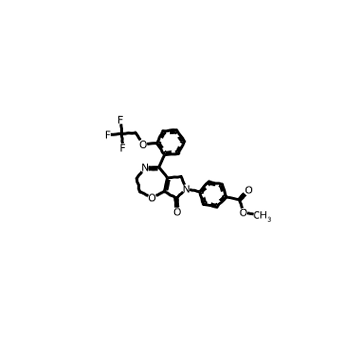 COC(=O)c1ccc(N2CC3=C(OCCN=C3c3ccccc3OCC(F)(F)F)C2=O)cc1